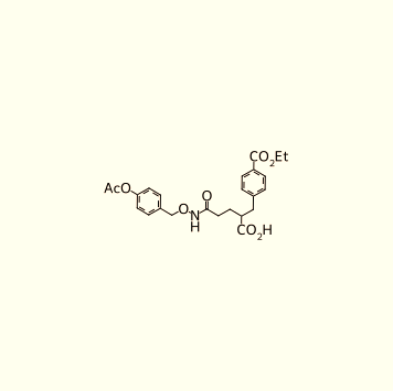 CCOC(=O)c1ccc(CC(CCC(=O)NOCc2ccc(OC(C)=O)cc2)C(=O)O)cc1